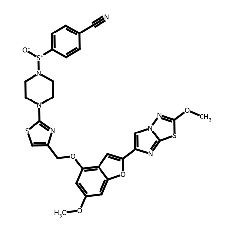 COc1cc(OCc2csc(N3CCN([S+]([O-])c4ccc(C#N)cc4)CC3)n2)c2cc(-c3cn4nc(OC)sc4n3)oc2c1